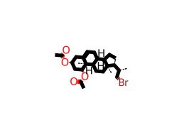 CC(=O)O[C@@H]1CC2=CC[C@H]3[C@@H]4CC[C@H]([C@H](C)CBr)[C@@]4(C)CC[C@@H]3[C@@]2(C)[C@@H](OC(C)=O)C1